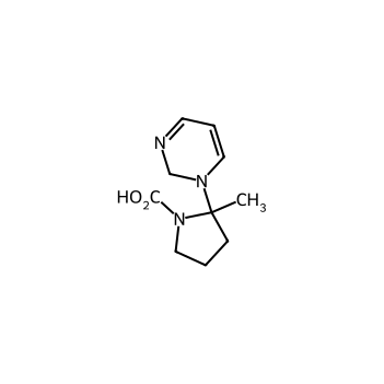 CC1(N2C=CC=NC2)CCCN1C(=O)O